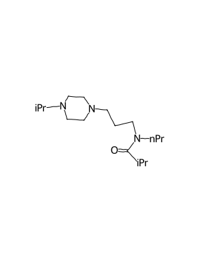 CCCN(CCCN1CCN(C(C)C)CC1)C(=O)C(C)C